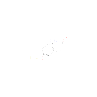 O=C1CCc2cc(OS)ccc2N1